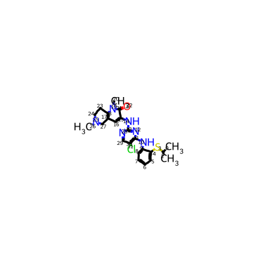 CC(C)Sc1ccccc1Nc1nc(Nc2cc3c(n(C)c2=O)CCN(C)C3)ncc1Cl